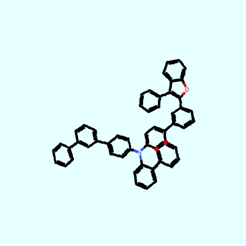 c1ccc(-c2cccc(-c3ccc(N(c4ccc(-c5cccc(-c6oc7ccccc7c6-c6ccccc6)c5)cc4)c4ccccc4-c4ccccc4)cc3)c2)cc1